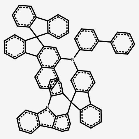 c1ccc(-c2cccc(N(c3ccc4c(c3)C3(c5ccccc5-4)c4ccccc4-n4c5ccccc5c5cccc3c54)c3cc4c(c5ccccc35)-c3ccccc3C43c4ccccc4-c4ccccc43)c2)cc1